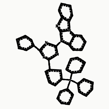 c1ccc(-c2nc(-c3cccc(S(c4ccccc4)(c4ccccc4)c4ccccc4)c3)nc(-n3c4ccccc4n4c5ccccc5nc34)n2)cc1